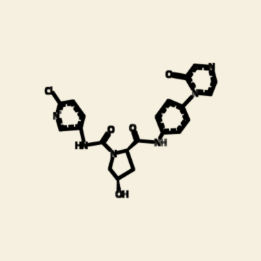 O=C(Nc1ccc(-n2ccncc2=O)cc1)[C@H]1C[C@@H](O)CN1C(=O)Nc1ccc(Cl)nc1